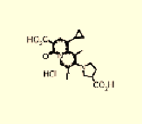 Cc1c(N2CCC(C(=O)O)C2)c(F)cn2c(=O)c(C(=O)O)cc(C3CC3)c12.Cl